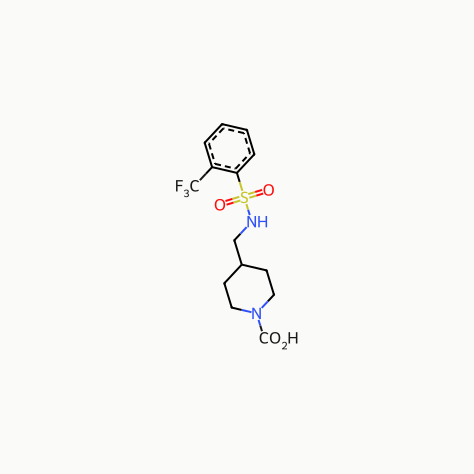 O=C(O)N1CCC(CNS(=O)(=O)c2ccccc2C(F)(F)F)CC1